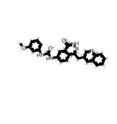 COc1cccc(NC(=O)Nc2ccc3c(Cc4cnc5ccccc5c4)n[nH]c(=O)c3c2)c1